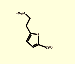 CCCCCCCc1ccc(C=O)s1